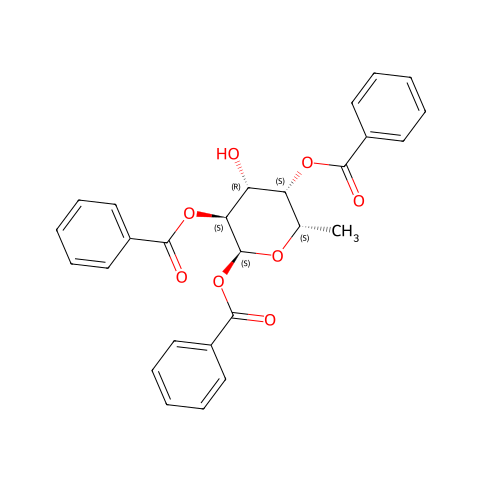 C[C@@H]1O[C@@H](OC(=O)c2ccccc2)[C@@H](OC(=O)c2ccccc2)[C@H](O)[C@@H]1OC(=O)c1ccccc1